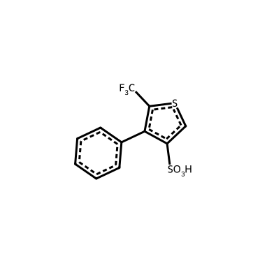 O=S(=O)(O)c1csc(C(F)(F)F)c1-c1ccccc1